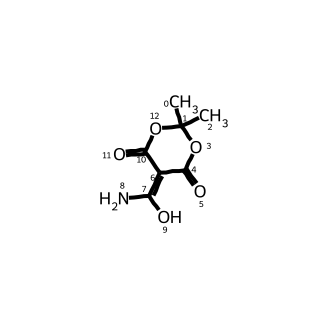 CC1(C)OC(=O)C(=C(N)O)C(=O)O1